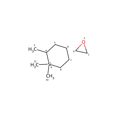 C1CO1.CC1CCCC[Si]1(C)C